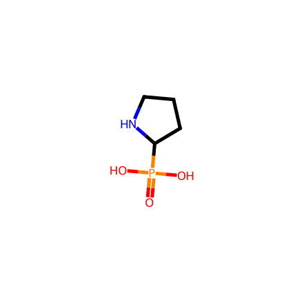 O=P(O)(O)C1CCCN1